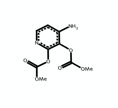 COC(=O)Oc1nccc(N)c1OC(=O)OC